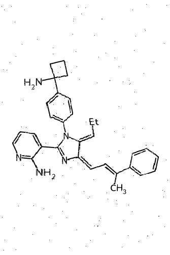 CC/C=c1/c(=C\C=C(/C)c2ccccc2)nc(-c2cccnc2N)n1-c1ccc(C2(N)CCC2)cc1